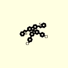 Clc1ccc(-c2ccc(C3(c4ccc(-c5ccc(Cl)cc5)cc4)c4cc(-c5cc6ccccc6s5)ccc4-c4ccc(-c5cc6ccccc6s5)cc43)cc2)cc1